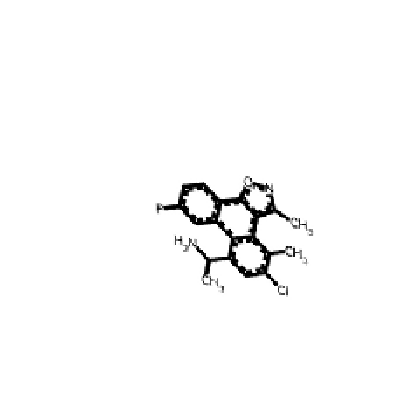 Cc1noc2c3ccc(F)cc3c3c(C(C)N)cc(Cl)c(C)c3c12